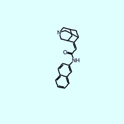 O=C(C=C1C2CC3CC1CN(C3)C2)Nc1ccc2ccccc2c1